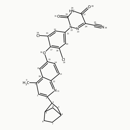 Cc1cc(C2CC3CCC2C3)nc2ccc(Oc3c(Cl)cc(-n4nc(C#N)c(=O)[nH]c4=O)cc3Cl)cc12